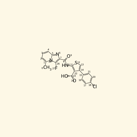 Cc1cccc2nc(C(=O)Nc3scc(-c4ccc(Cl)cc4)c3C(=O)O)c(F)n12